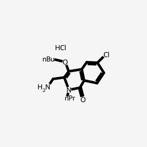 CCCCOc1c(CN)n(CCC)c(=O)c2ccc(Cl)cc12.Cl